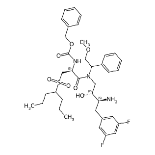 CCCC(CCC)S(=O)(=O)C[C@@H](NC(=O)OCc1ccccc1)C(=O)N(C[C@@H](O)[C@@H](N)Cc1cc(F)cc(F)c1)C(COC)c1ccccc1